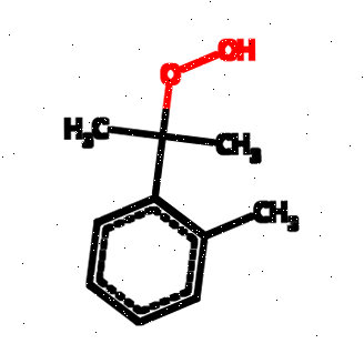 Cc1ccccc1C(C)(C)OO